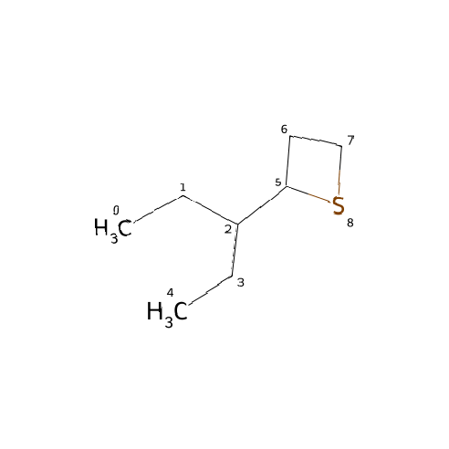 CCC(CC)C1CCS1